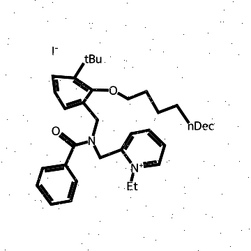 CCCCCCCCCCCCCCOc1c(CN(Cc2cccc[n+]2CC)C(=O)c2ccccc2)cccc1C(C)(C)C.[I-]